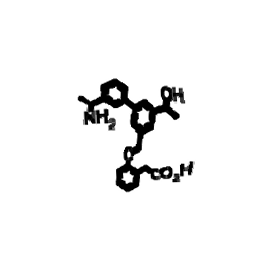 CC(O)c1cc(COc2ccccc2CC(=O)O)cc(-c2cccc([C@H](C)N)c2)c1